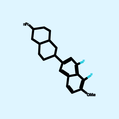 CCCC1CCC2CC(c3cc(F)c4c(F)c(OC)ccc4c3)CCC2C1